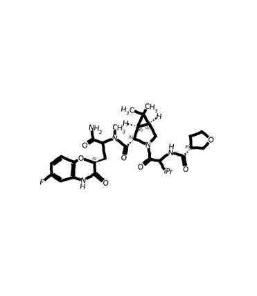 CC(C)C(NC(=O)[C@@H]1CCOC1)C(=O)N1C[C@H]2[C@@H]([C@H]1C(=O)N(C)C(C[C@@H]1Oc3ccc(F)cc3NC1=O)C(N)=O)C2(C)C